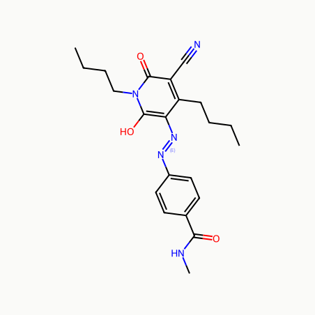 CCCCc1c(/N=N/c2ccc(C(=O)NC)cc2)c(O)n(CCCC)c(=O)c1C#N